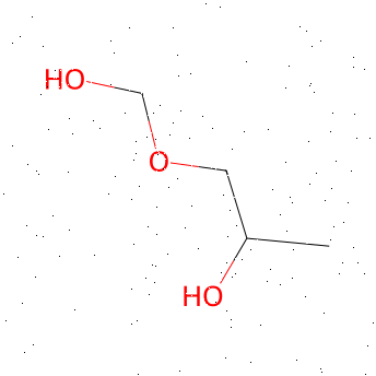 CC(O)COCO